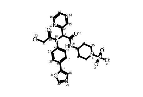 CCS(=O)(=O)N1CCC(NC(=O)C(c2cnccn2)N(C(=O)CCl)c2ccc(-c3cnco3)cc2)CC1